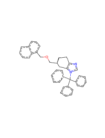 c1ccc(C(c2ccccc2)(c2ccccc2)n2cnc3c2CC(COCc2cccc4ccccc24)CC3)cc1